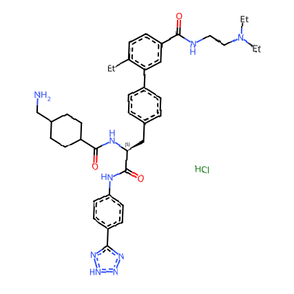 CCc1ccc(C(=O)NCCN(CC)CC)cc1-c1ccc(C[C@H](NC(=O)C2CCC(CN)CC2)C(=O)Nc2ccc(-c3nn[nH]n3)cc2)cc1.Cl